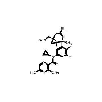 COC[C@]12C[C@H]1[C@@](C)(c1cc(N(C(=O)c3ncc(C)nc3OC)C3CC3)cc(F)c1F)N=C(N)S2